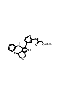 COCC(=O)Nc1cc(-c2[nH]c3c(c2Nc2ccccc2)C(=O)COC3)ccn1